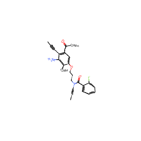 CC#Cc1c(C(=O)OC)cc(OCCCN(C#CC)C(=O)c2ccccc2F)c(OC)c1N